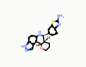 Nc1nc2ccc([C@@H]3Nc4ccc5[nH]ncc5c4[C@H]4OCCC[C@H]43)cc2s1